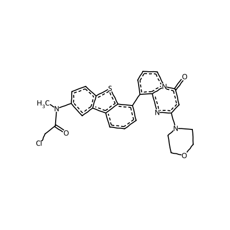 CN(C(=O)CCl)c1ccc2sc3c(-c4cccn5c(=O)cc(N6CCOCC6)nc45)cccc3c2c1